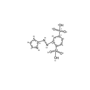 O=S(=O)(O)c1[c]cc(S(=O)(=O)O)c(N=Nc2nccs2)c1